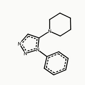 c1ccc(-n2nncc2N2CCCCC2)cc1